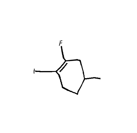 CC1CCC(I)=C(F)C1